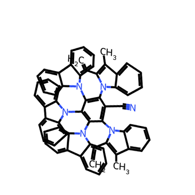 C=Cc1c(C)c2ccccc2n1-c1c(C#N)c(-n2c(C=C)c(C)c3ccccc32)c(-n2c3ccccc3c3ccccc32)c(-n2c3ccccc3c3ccccc32)c1-n1c2ccccc2c2ccccc21